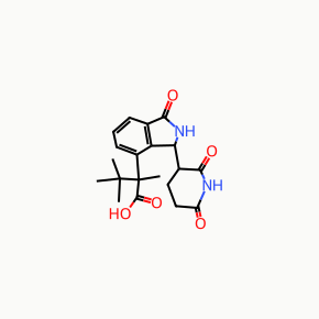 CC(C)(C)C(C)(C(=O)O)c1cccc2c1C(C1CCC(=O)NC1=O)NC2=O